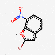 O=[N+]([O-])c1cccc2cc(Br)oc12